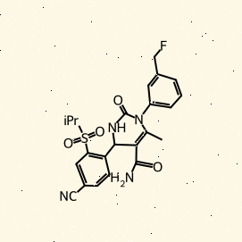 CC1=C(C(N)=O)C(c2ccc(C#N)cc2S(=O)(=O)C(C)C)NC(=O)N1c1cccc(CF)c1